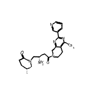 C[C@@H]1CCC(=O)N(C[C@@H](N)CC(=O)N2CCc3c(nc(-c4cccnc4)nc3C(F)(F)F)C2)C1